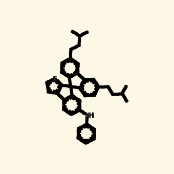 CC(C)CCc1ccc2c(c1)-c1cc(CCC(C)C)ccc1C21c2cc(Nc3ccccc3)ccc2-c2ccsc21